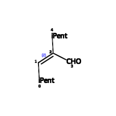 CCCC(C)/C=C(\C=O)C(C)CCC